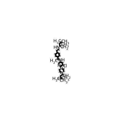 C=C(CC(C)(C)C)NCCc1ccc(C(=C)Nc2cnc(N3CCN(C(=C)CC(C)(C)C)CC3)c(Cl)c2)cc1